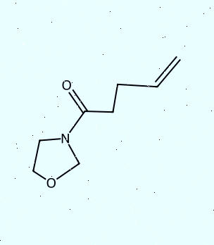 C=CCCC(=O)N1CCOC1